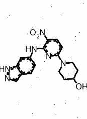 O=[N+]([O-])c1ccc(N2CCC(O)CC2)nc1Nc1ccc2cn[nH]c2c1